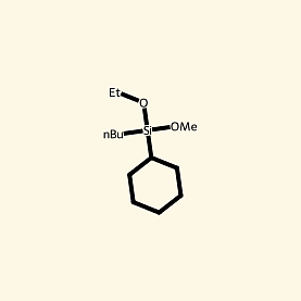 CCCC[Si](OC)(OCC)C1CCCCC1